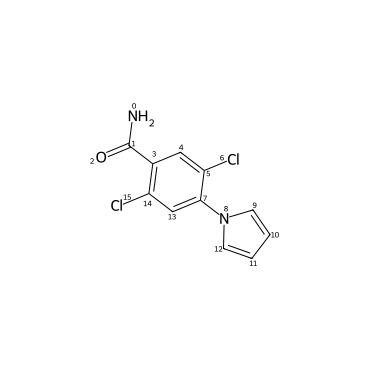 NC(=O)c1cc(Cl)c(-n2cccc2)cc1Cl